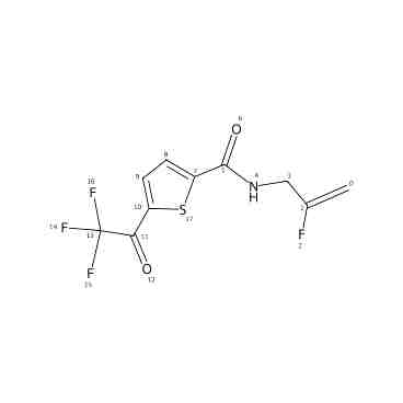 C=C(F)CNC(=O)c1ccc(C(=O)C(F)(F)F)s1